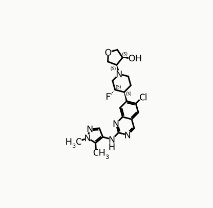 Cc1c(Nc2ncc3cc(Cl)c([C@@H]4CCN([C@H]5COC[C@H]5O)C[C@H]4F)cc3n2)cnn1C